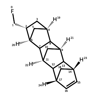 FC[C@@H]1C[C@@H]2C[C@H]1C1C2[C@@H]2C[C@H]1C1C2[C@@H]2C=C[C@H]1C2